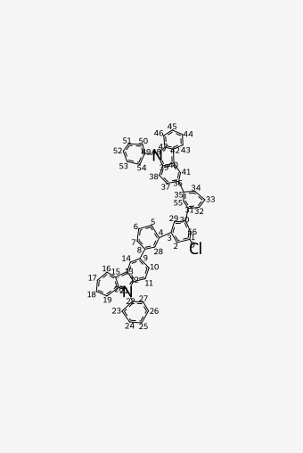 Clc1cc(-c2cccc(-c3ccc4c(c3)c3ccccc3n4-c3ccccc3)c2)cc(-c2cccc(-c3ccc4c(c3)c3ccccc3n4-c3ccccc3)c2)c1